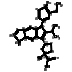 COc1cc(-n2c(C(C)C)c([C@@H]3CC[C@@](O)(C(=O)O)C3)c3cc4[nH]ncc4cc32)ccc1F